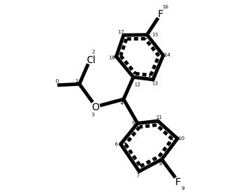 CC(Cl)OC(c1ccc(F)cc1)c1ccc(F)cc1